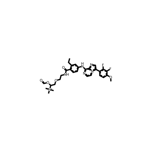 CCc1cc(Nc2nccn3c(-c4ccc(OC)c(F)c4F)cnc23)ccc1C(=O)NCCOCC(OC=O)[N+](C)(C)C